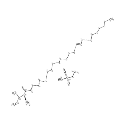 CCCCCCCC/C=C/CCCCCCCCCCCCOC(=O)[C@@H](N)C(C)C.CCS(=O)(=O)O